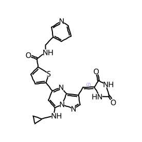 O=C1NC(=O)/C(=C/c2cnn3c(NC4CC4)cc(-c4ccc(C(=O)NCc5cccnc5)s4)nc23)N1